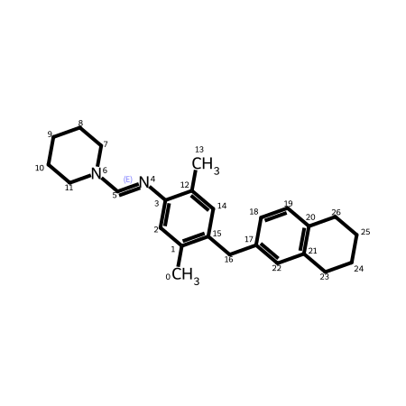 Cc1cc(/N=C/N2CCCCC2)c(C)cc1Cc1ccc2c(c1)CCCC2